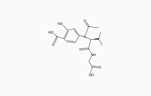 CC(=O)N(c1ccc(C(=O)O)c(O)c1)[C@H](C(=O)NCC(=O)O)C(C)C